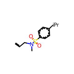 C=CCN(C)S(=O)(=O)c1ccc(C(C)C)cc1